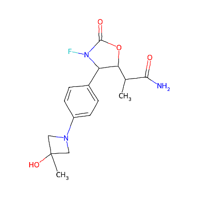 CC(C(N)=O)C1OC(=O)N(F)C1c1ccc(N2CC(C)(O)C2)cc1